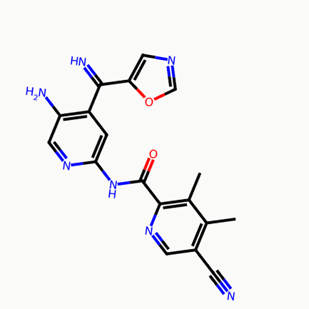 Cc1c(C#N)cnc(C(=O)Nc2cc(C(=N)c3cnco3)c(N)cn2)c1C